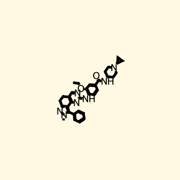 CCOc1cc(C(=O)NC2CCN(C3CC3)CC2)ccc1Nc1ncc2c(n1)-c1c(nn(C)c1-c1ccccc1)CC2